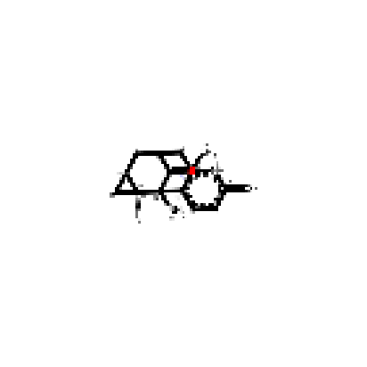 C/C=C1\C2Cc3[nH]c(=O)ccc3C1(N)[C@@H]1CC1C2